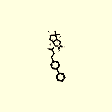 C[C@H]1C[C@@H]2N(C(=O)CCc3ccc(-c4ccccc4)cc3)S(=O)(=O)C[C@]2(C)C1(C)C